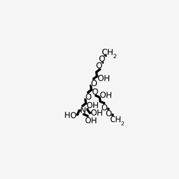 C=COCOCCC(O)COCC(COCC(O)C[N+](CCO)(CCO)CCO)OCC(O)CCOCOC=C